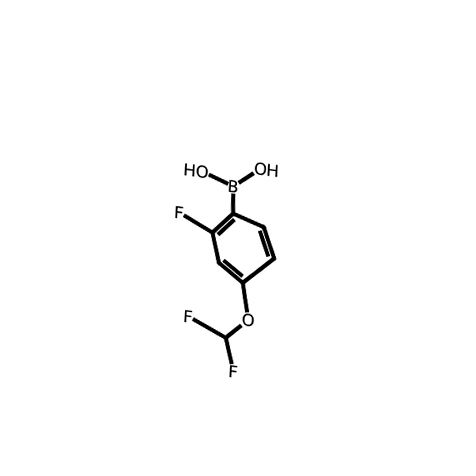 OB(O)c1ccc(OC(F)F)cc1F